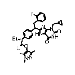 CCN(C(=O)Oc1c(C)nn(C)c1C)c1ccc(C(Cc2ccccc2F)c2nc3c([nH]2)c(=O)[nH]c(=O)n3CC2CC2)cc1